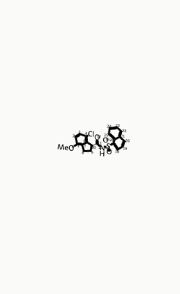 COc1ccc(Cl)c2c1CC[C@H]2C(=O)NS(=O)(=O)c1cccc2ccccc12